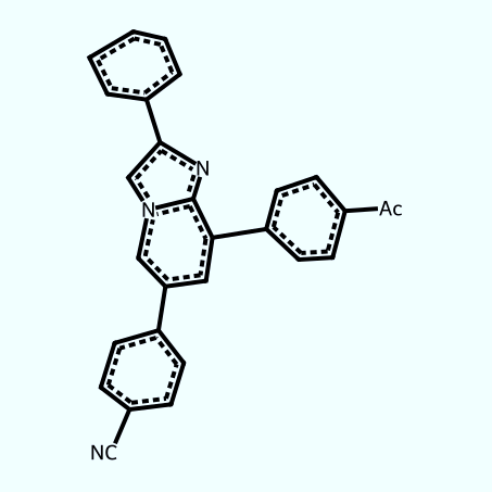 CC(=O)c1ccc(-c2cc(-c3ccc(C#N)cc3)cn3cc(-c4ccccc4)nc23)cc1